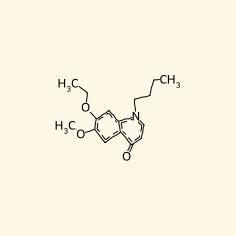 CCCCn1ccc(=O)c2cc(OC)c(OCC)cc21